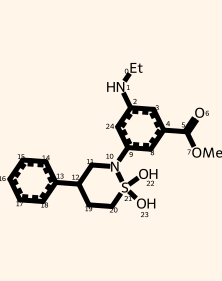 CCNc1cc(C(=O)OC)cc(N2CC(c3ccccc3)CCS2(O)O)c1